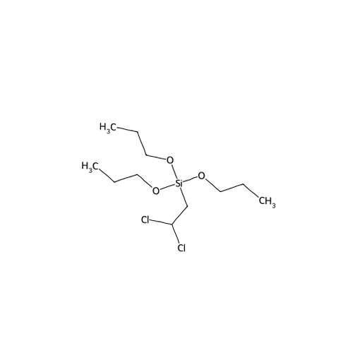 CCCO[Si](CC(Cl)Cl)(OCCC)OCCC